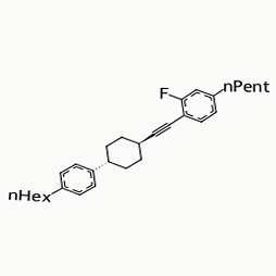 CCCCCCc1ccc([C@H]2CC[C@H](C#Cc3ccc(CCCCC)cc3F)CC2)cc1